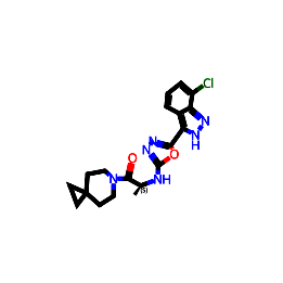 C[C@H](Nc1nnc(-c2[nH]nc3c(Cl)cccc23)o1)C(=O)N1CCC2(CC1)CC2